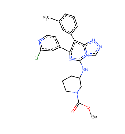 CC(C)(C)OC(=O)N1CCCC(Nc2nc(-c3ccnc(Cl)c3)c(-c3cccc(C(F)(F)F)c3)c3nncn23)C1